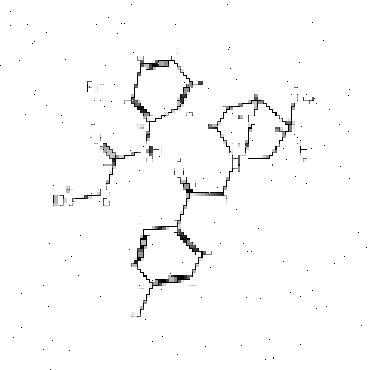 CC(=O)O[C@H]1C[N+]2(CC(=O)c3ccc(C)cc3)CCC1CC2.CC(C)(C)OC(=O)Nc1ccccc1.[Br-]